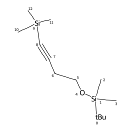 CC(C)(C)[Si](C)(C)OCCC#C[Si](C)(C)C